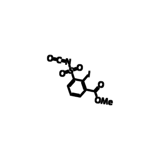 COC(=O)c1cccc(S(=O)(=O)N=C=O)c1I